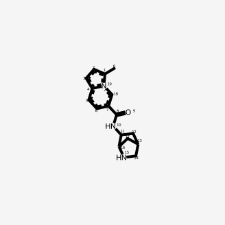 Cc1ccc2ccc(C(=O)NC3CC4CNC3C4)cn12